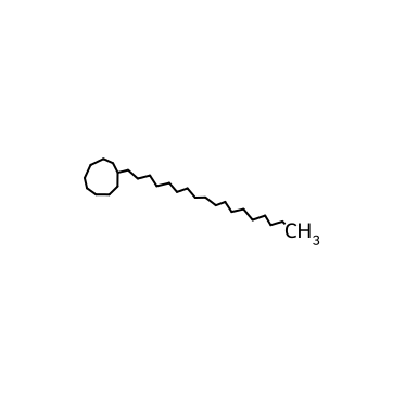 CCCCCCCCCCCCCCCCCCC1CCCCCCCC1